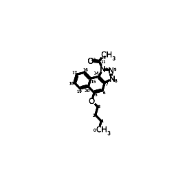 CCCCOc1cc2nnn(C(C)=O)c2c2ccccc12